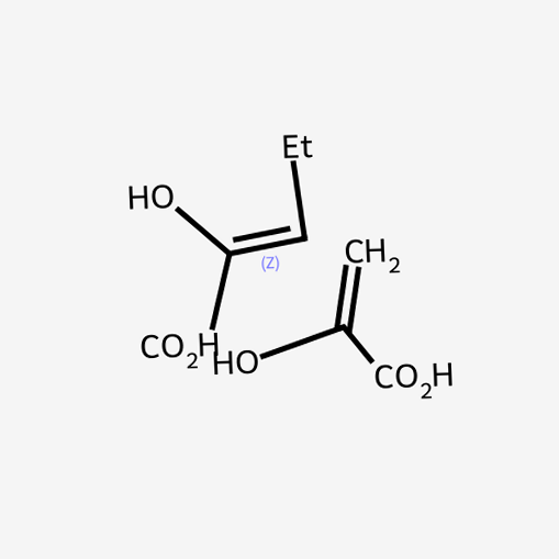 C=C(O)C(=O)O.CC/C=C(\O)C(=O)O